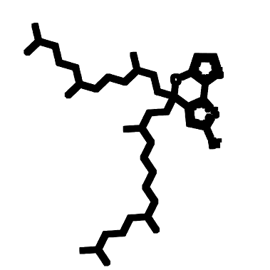 CC(C)CCCC(C)CCCCCC(C)CCC1(CCC(C)CCCC(C)CCCC(C)C)Oc2ccsc2-c2sc(Br)cc21